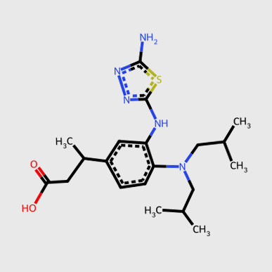 CC(C)CN(CC(C)C)c1ccc(C(C)CC(=O)O)cc1Nc1nnc(N)s1